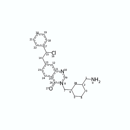 NCC1CCCC(Cn2cnc3cc(CC(Cl)c4ccccc4)ccc3c2=O)C1